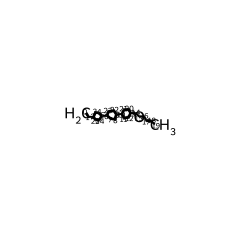 C=Cc1ccc(-c2ccc(-c3ccc(COCC=CC)cc3)cc2)cc1